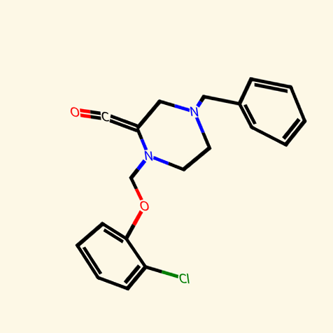 O=C=C1CN(Cc2ccccc2)CCN1COc1ccccc1Cl